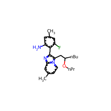 CCCCC(Cc1c(-c2c(N)cc(C)cc2F)nc2cc(C)ccn12)OCCC